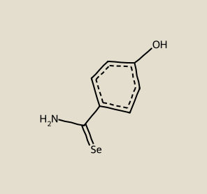 NC(=[Se])c1ccc(O)cc1